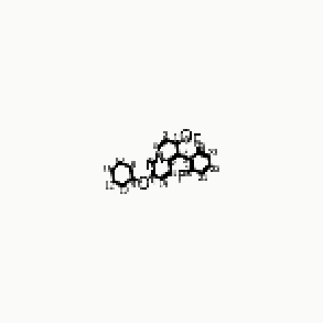 O=c1ccn2nc(OC3CCCCC3)ccc2c1-c1c(F)cccc1F